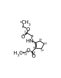 CCOC(=O)CNC1=C(C(=O)OCC)CCC1